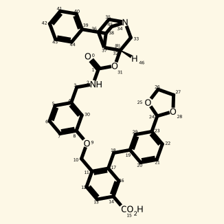 O=C(NCc1cccc(OCc2ccc(C(=O)O)cc2Cc2cccc(C3OCCO3)c2)c1)O[C@H]1CN2CCC1C(c1ccccc1)C2